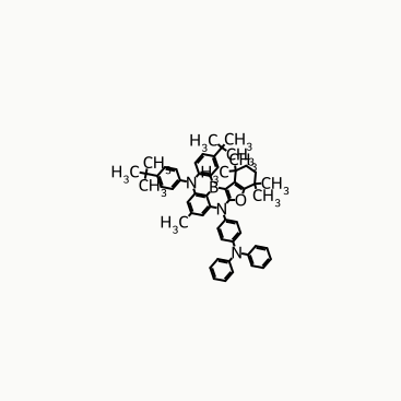 Cc1cc2c3c(c1)N(c1ccc(N(c4ccccc4)c4ccccc4)cc1)c1oc4c(c1B3c1cc(C(C)(C)C)ccc1N2c1ccc(C(C)(C)C)cc1)C(C)(C)CCC4(C)C